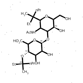 CCCC(C)(CC)C1OC(CO)[C@@H](O)C(O[C@@H]2OC(C(=O)O)[C@@H](O[C@](C)(CC)CCC)C(O)C2O)C1NC(C)=O